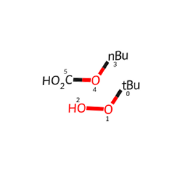 CC(C)(C)OO.CCCCOC(=O)O